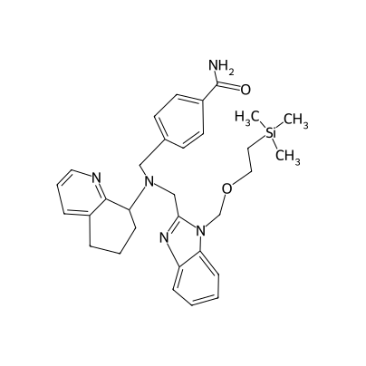 C[Si](C)(C)CCOCn1c(CN(Cc2ccc(C(N)=O)cc2)C2CCCc3cccnc32)nc2ccccc21